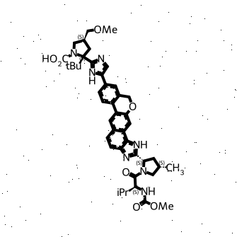 COC[C@@H]1CN(C(=O)O)[C@](c2ncc(-c3ccc4c(c3)COc3cc5c(ccc6nc([C@@H]7C[C@H](C)CN7C(=O)[C@@H](NC(=O)OC)C(C)C)[nH]c65)cc3-4)[nH]2)(C(C)(C)C)C1